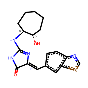 O=C1NC(N[C@H]2CCCCC[C@@H]2O)=N/C1=C\c1ccc2ncsc2c1